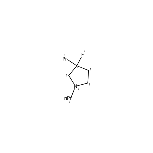 CCCN1CCC(F)(C(C)C)C1